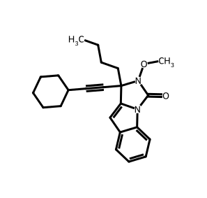 CCCCC1(C#CC2CCCCC2)c2cc3ccccc3n2C(=O)N1OC